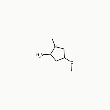 BC1CC(OC)CN1C